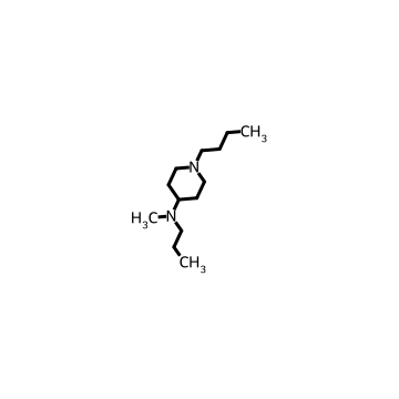 CCCCN1CCC(N(C)CCC)CC1